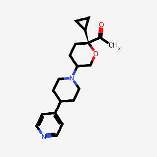 CC(=O)[C@@]1(C2CC2)CCC(N2CCC(c3ccncc3)CC2)CO1